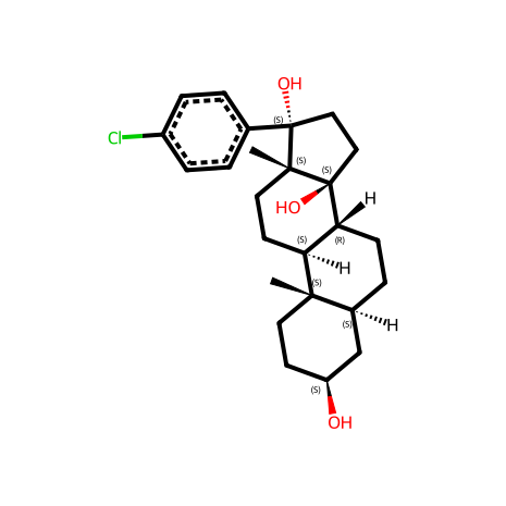 C[C@]12CC[C@H](O)C[C@@H]1CC[C@@H]1[C@@H]2CC[C@]2(C)[C@@](O)(c3ccc(Cl)cc3)CC[C@]12O